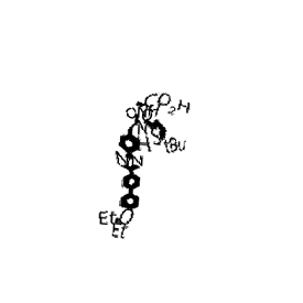 CCC(CC)Oc1ccc(-c2ccc(-c3cnc(-c4ccc(C[C@H](NC(=O)c5ccc(C(C)(C)C)s5)C(=O)N[C@H](C)C(=O)O)cc4)nc3)cc2)cc1